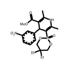 CCC1(CC)COP(=O)(C2=C(C)NC(C)=C(C(=O)OC)C2c2cccc([N+](=O)[O-])c2)OC1